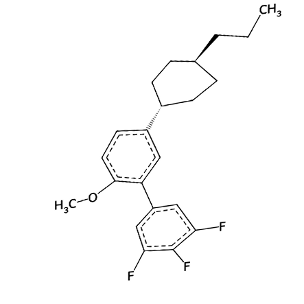 CCC[C@H]1CC[C@H](c2ccc(OC)c(-c3cc(F)c(F)c(F)c3)c2)CC1